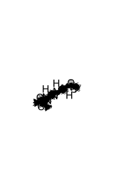 O=C(NCc1ccc(CNc2ccc(-c3nc4c([nH]3)c(=O)n(C3CC3)c(=O)n4C3CC3)cn2)cc1)c1cccs1